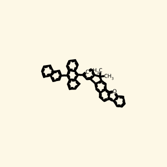 CC1(C)c2ccc(-c3c4ccccc4c(-c4ccc5ccccc5c4)c4ccccc34)cc2-c2cc3ccc4c5ccccc5oc4c3cc21